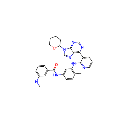 Cc1ccc(NC(=O)c2cccc(N(C)C)c2)cc1Nc1ncccc1-c1ncnc2c1ncn2C1CCCCO1